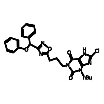 CCCCn1c(=O)n(CCCc2nc(C(Oc3ccccc3)c3ccccc3)no2)c(=O)c2[nH]c(Cl)nc21